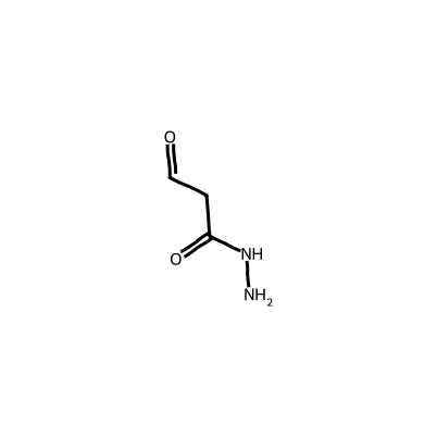 NNC(=O)CC=O